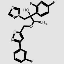 C[C@@H](OCc1cc(-c2cccc(F)c2)no1)[C@](O)(Cn1cncn1)c1ccc(F)cc1F